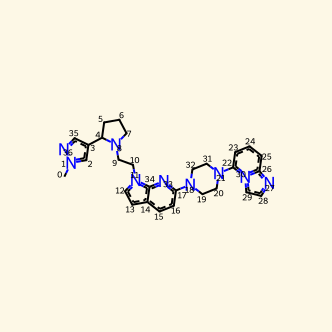 Cn1cc(C2CCCN2CCn2ccc3ccc(N4CCN(c5cccc6nccn56)CC4)nc32)cn1